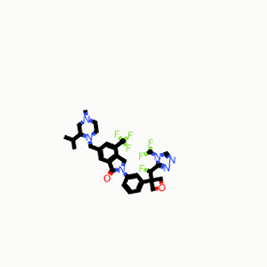 CC(C)C1CN(C)CCN1Cc1cc2c(c(C(F)(F)F)c1)CN(c1cccc(C3(C(F)c4nncn4C(F)F)COC3)c1)C2=O